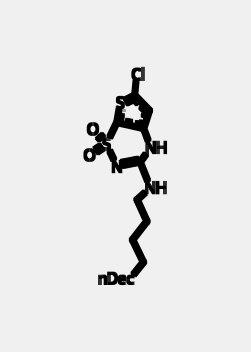 CCCCCCCCCCCCCCNC1=NS(=O)(=O)c2sc(Cl)cc2N1